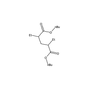 CCCCOC(=O)C(CC)CC(CC)C(=O)OCCCC